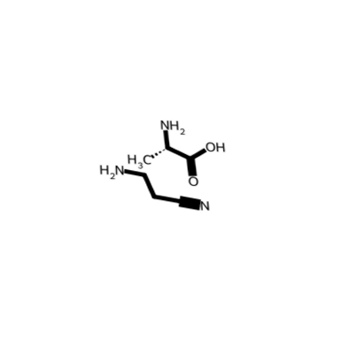 C[C@H](N)C(=O)O.N#CCCN